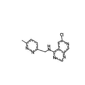 Cc1ccc(CNc2ncnc3cnc(Cl)cc23)nn1